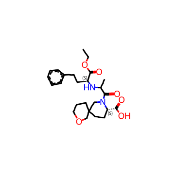 CCOC(=O)[C@H](CCc1ccccc1)NC(C)C(=O)N1CC2(CCCOC2)CC[C@H]1C(=O)O